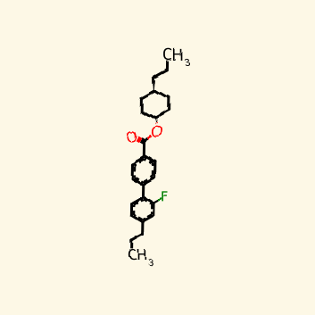 CCCc1ccc(-c2ccc(C(=O)O[C@H]3CC[C@H](CCC)CC3)cc2)c(F)c1